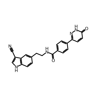 N#Cc1c[nH]c2ccc(CCNC(=O)c3ccc(-c4ccc(=O)[nH]n4)cc3)cc12